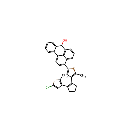 Cc1sc(Cl)cc1C1=C(c2cc(-c3ccc4c5c(cccc35)C(O)c3ccccc3-4)sc2C)CCC1